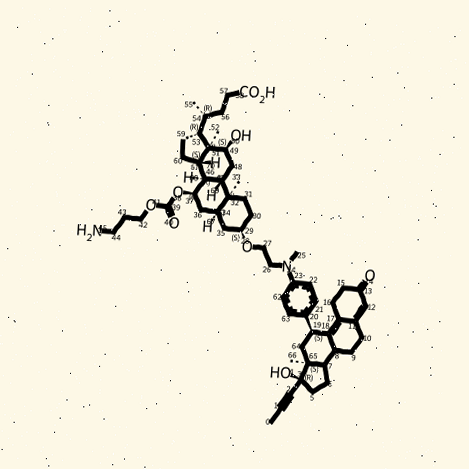 CC#C[C@@]1(O)CCC2C3CCC4=CC(=O)CCC4=C3[C@H](c3ccc(N(C)CCO[C@H]4CC[C@@]5(C)[C@@H](C4)C[C@@H](OC(=O)OCCCN)[C@@H]4[C@@H]5C[C@H](O)[C@]5(C)[C@@H]([C@H](C)CCC(=O)O)CC[C@@H]45)cc3)C[C@@]21C